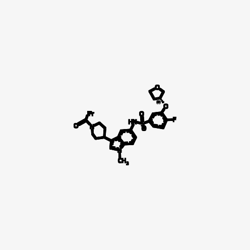 CC(C)C(=O)N1CCC(c2cn(C)c3ccc(NS(=O)(=O)c4ccc(F)c(O[C@@H]5CCOC5)c4)cc23)CC1